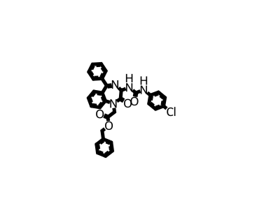 O=C(Nc1ccc(Cl)cc1)NC1N=C(c2ccccc2)c2ccccc2N(CC(=O)OCc2ccccc2)C1=O